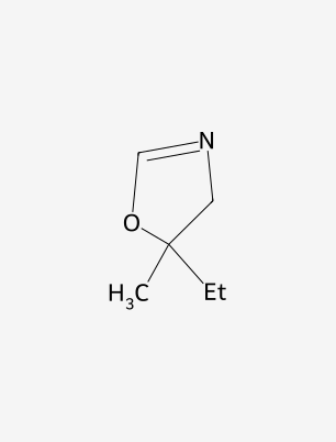 CCC1(C)CN=CO1